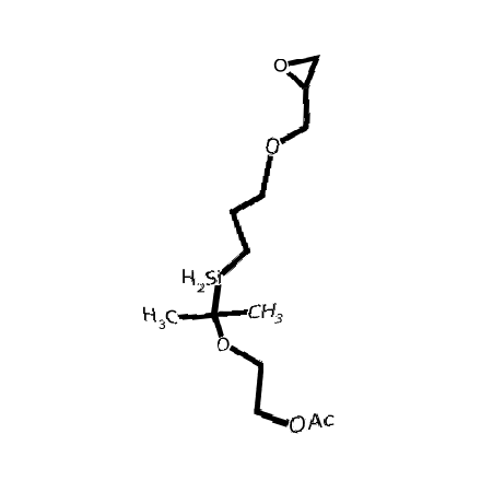 CC(=O)OCCOC(C)(C)[SiH2]CCCOCC1CO1